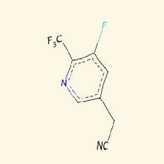 N#CCc1cnc(C(F)(F)F)c(F)c1